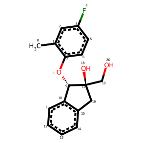 Cc1cc(F)ccc1O[C@H]1c2ccccc2C[C@@]1(O)CO